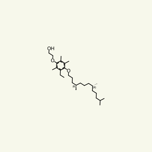 CCc1c(C)c(OCCO)c(C)c(C)c1OCCC[C@H](C)CCC[C@H](C)CCCC(C)C